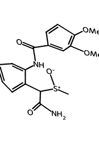 COc1ccc(C(=O)Nc2ccccc2C(C(N)=O)[S+](C)[O-])cc1OC